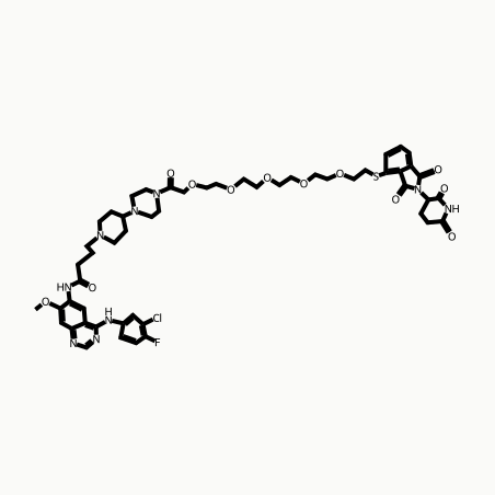 COc1cc2ncnc(Nc3ccc(F)c(Cl)c3)c2cc1NC(=O)CCCN1CCC(N2CCN(C(=O)COCCOCCOCCOCCOCCSc3cccc4c3C(=O)N(C3CCC(=O)NC3=O)C4=O)CC2)CC1